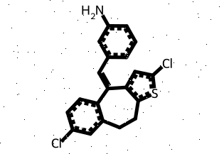 Nc1cccc(C=C2c3ccc(Cl)cc3CCc3sc(Cl)cc32)c1